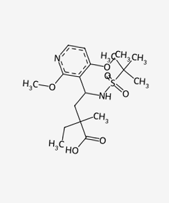 CCC(C)(CC(NS(=O)(=O)C(C)(C)C)c1c(OC)ccnc1OC)C(=O)O